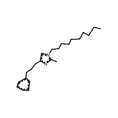 CCCCCCCCCCn1cc(CCCc2ccccc2)nc1C